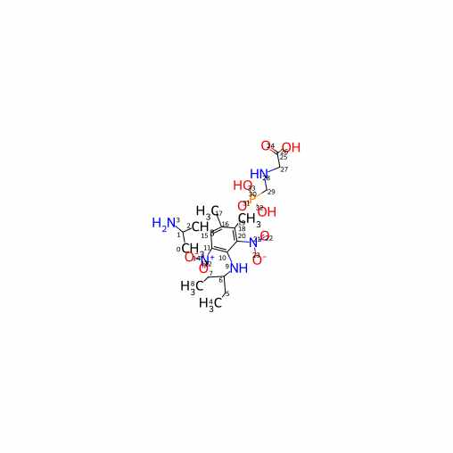 CC(C)N.CCC(CC)Nc1c([N+](=O)[O-])cc(C)c(C)c1[N+](=O)[O-].O=C(O)CNCP(=O)(O)O